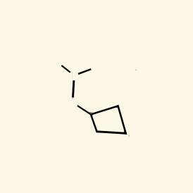 [K+].[K+].[O-]B([O-])OC1CCC1